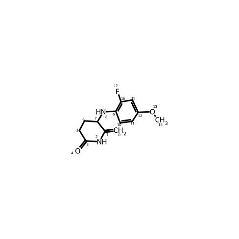 C=C1NC(=O)CCC1Nc1ccc(OC)cc1F